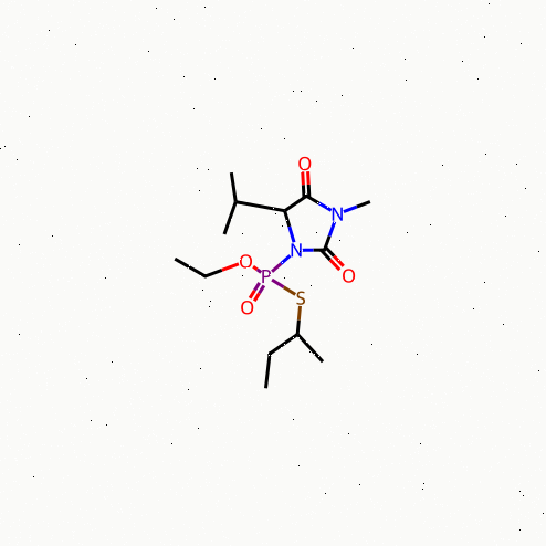 CCOP(=O)(SC(C)CC)N1C(=O)N(C)C(=O)C1C(C)C